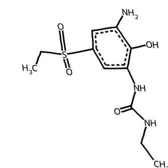 CCNC(=O)Nc1cc(S(=O)(=O)CC)cc(N)c1O